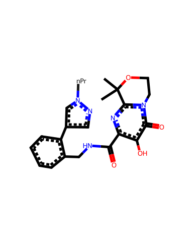 CCCn1cc(-c2ccccc2CNC(=O)c2nc3n(c(=O)c2O)CCOC3(C)C)cn1